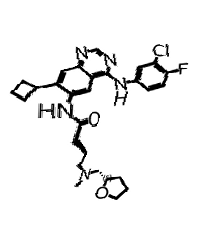 CN(CC=CC(=O)Nc1cc2c(Nc3ccc(F)c(Cl)c3)ncnc2cc1C1CCC1)C[C@@H]1CCCO1